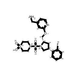 NCc1ccnc(OC[C@@H]2C[C@H](c3ccccc3F)CN2S(=O)(=O)N2CCS(=O)(=O)CC2)c1